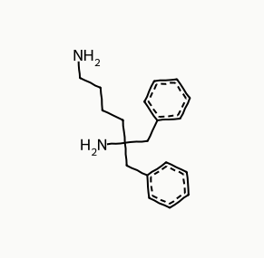 NCCCCC(N)(Cc1ccccc1)Cc1ccccc1